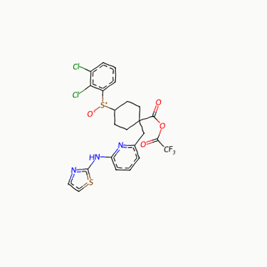 O=C(OC(=O)C1(Cc2cccc(Nc3nccs3)n2)CCC([S+]([O-])c2cccc(Cl)c2Cl)CC1)C(F)(F)F